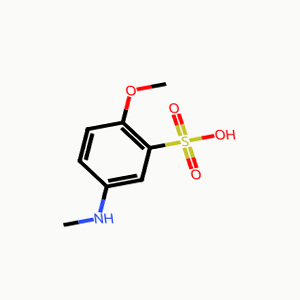 CNc1ccc(OC)c(S(=O)(=O)O)c1